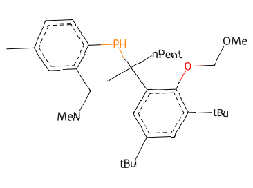 CCCCCC(C)(Pc1ccc(C)cc1CNC)c1cc(C(C)(C)C)cc(C(C)(C)C)c1OCOC